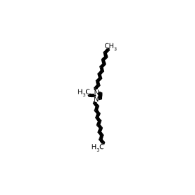 CCCCCCCCCCCCCN1C=CN(CCCCCCCCCCCCC)C1CC